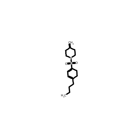 C=C1CCN(S(=O)(=O)C2=CC=C(CCCC)CC2)CC1